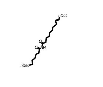 CCCCCCCCC=CCCCCCCCC(=O)NC(=O)CCCCCCCCCCCCCCC